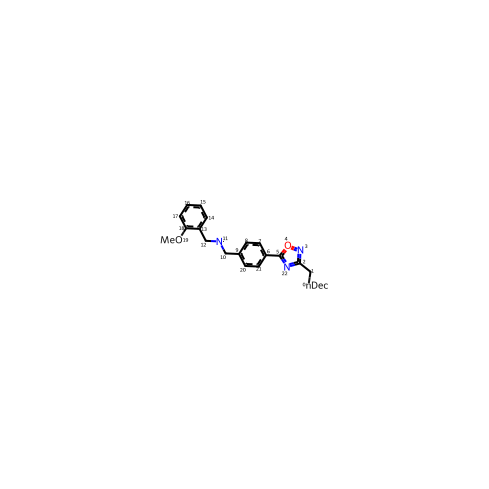 CCCCCCCCCCCc1noc(-c2ccc(C[N]Cc3ccccc3OC)cc2)n1